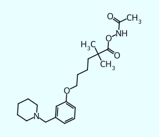 CC(=O)NOC(=O)C(C)(C)CCCCOc1cccc(CN2CCCCC2)c1